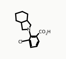 O=C(O)c1cccc(Cl)c1N1CC2CCCCC2C1